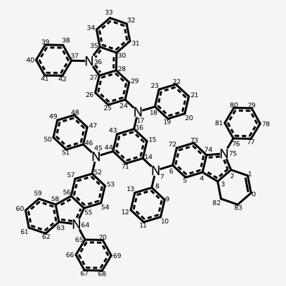 C1=Cc2c(c3cc(N(c4ccccc4)c4cc(N(c5ccccc5)c5ccc6c(c5)c5ccccc5n6-c5ccccc5)cc(N(c5ccccc5)c5ccc6c(c5)c5ccccc5n6-c5ccccc5)c4)ccc3n2-c2ccccc2)CC1